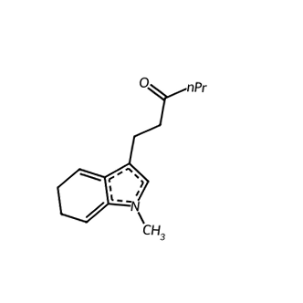 CCCC(=O)CCc1cn(C)c2c1=CCCC=2